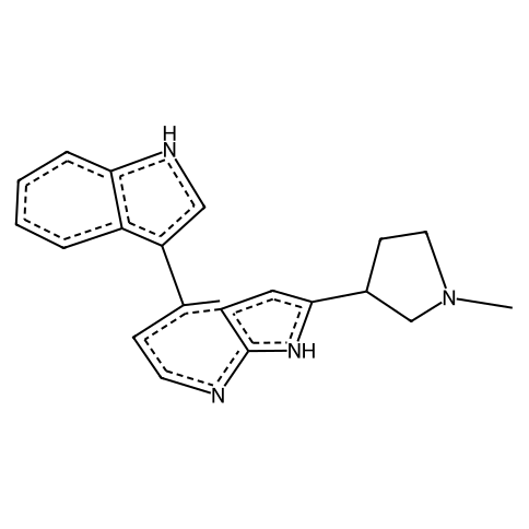 CN1CCC(c2cc3c(-c4c[nH]c5ccccc45)ccnc3[nH]2)C1